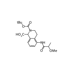 COC(C)C(=O)Nc1cccc2c1CCN(C(=O)OC(C)(C)C)C2C(=O)O